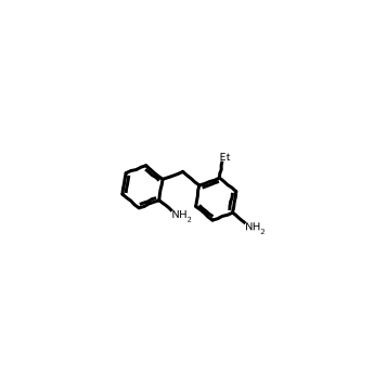 CCc1cc(N)ccc1Cc1ccccc1N